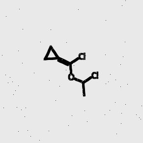 CC(Cl)OC(Cl)=C1CC1